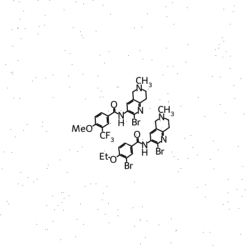 CCOc1ccc(C(=O)Nc2cc3c(nc2Br)CCN(C)C3)cc1Br.COc1ccc(C(=O)Nc2cc3c(nc2Br)CCN(C)C3)cc1C(F)(F)F